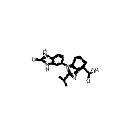 CC(C)c1nc2c(C(=O)O)cccc2n1-c1ccc2[nH]c(=O)[nH]c2c1